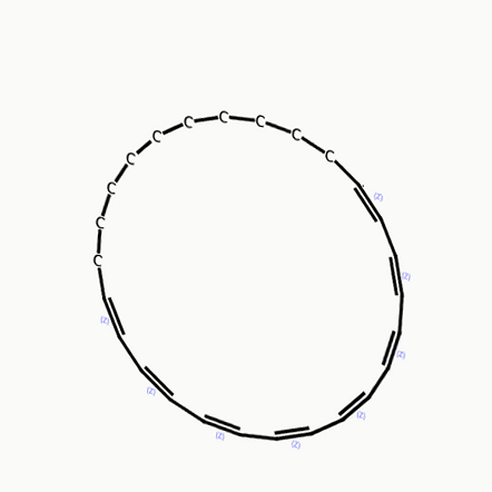 [C]1=C/C=C\C=C/C=C\C=C/C=C\C=C/C=C\CCCCCCCCCC\1